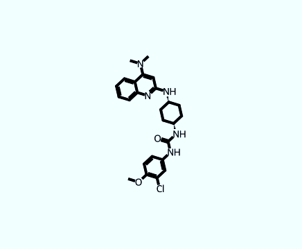 COc1ccc(NC(=O)N[C@H]2CC[C@@H](Nc3cc(N(C)C)c4ccccc4n3)CC2)cc1Cl